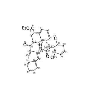 CCOC(=O)CCN(Cc1ccccc1)C(=O)c1cc2ccccc2cc1NC(=O)Nc1c(Cl)cccc1Cl